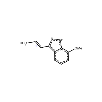 COc1cccc2c(/C=C/C(=O)O)n[nH]c12